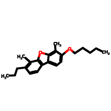 CCCCCOc1ccc2c(oc3c(C)c(CCC)ccc32)c1C